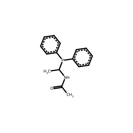 CC(=O)NC(C)P(c1ccccc1)c1ccccc1